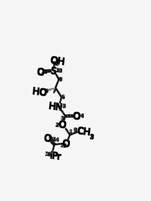 CC(OC(=O)NC[C@H](O)CS(=O)O)OC(=O)C(C)C